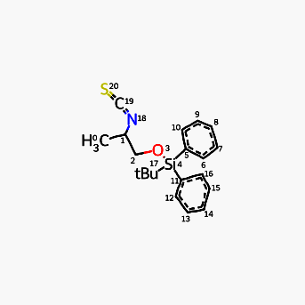 CC(CO[Si](c1ccccc1)(c1ccccc1)C(C)(C)C)N=C=S